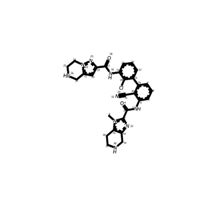 Cn1c(C(=O)Nc2cccc(-c3cccc(NC(=O)c4cc5n(n4)CCNC5)c3Cl)c2C#N)nc2c1CCNC2